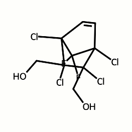 OCC1(Cl)C2(Cl)C=CC(Cl)(C2(F)F)C1(Cl)CO